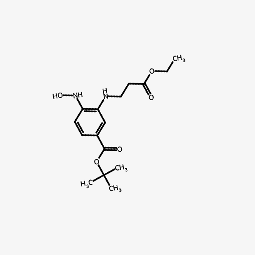 CCOC(=O)CCNc1cc(C(=O)OC(C)(C)C)ccc1NO